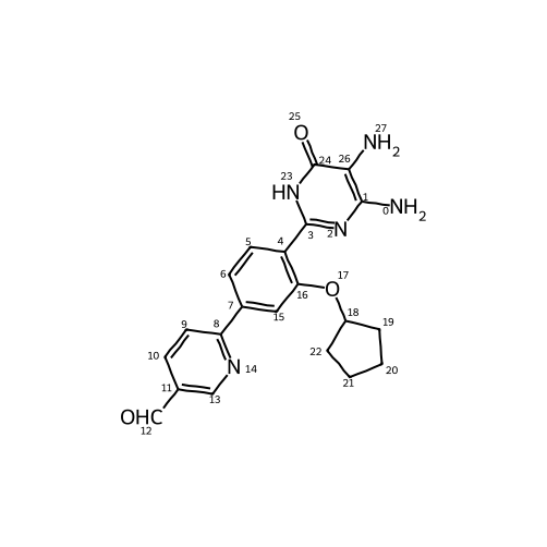 Nc1nc(-c2ccc(-c3ccc(C=O)cn3)cc2OC2CCCC2)[nH]c(=O)c1N